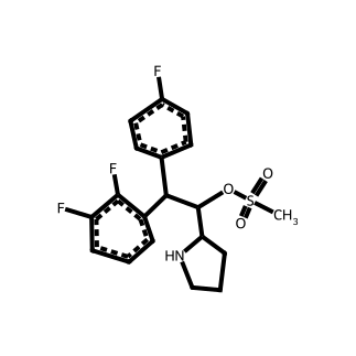 CS(=O)(=O)OC(C1CCCN1)C(c1ccc(F)cc1)c1cccc(F)c1F